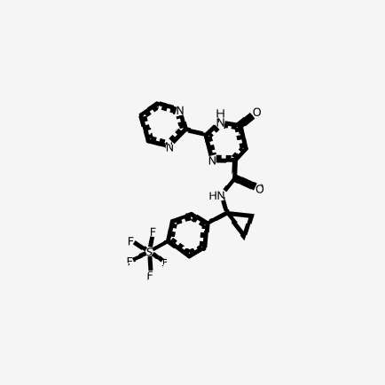 O=C(NC1(c2ccc(S(F)(F)(F)(F)F)cc2)CC1)c1cc(=O)[nH]c(-c2ncccn2)n1